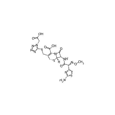 CON=C(C(=O)NC1C(=O)N2C(C(=O)O)=C(CSc3nnnn3CC(=O)O)CS[C@@H]12)c1csc(N)n1